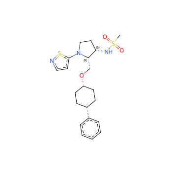 CS(=O)(=O)N[C@H]1CCN(c2ccns2)[C@H]1CO[C@H]1CC[C@@H](c2ccccc2)CC1